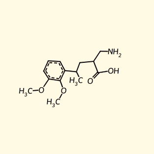 COc1cccc(C(C)CC(CN)C(=O)O)c1OC